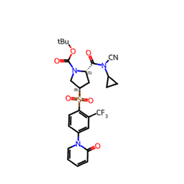 CC(C)(C)OC(=O)N1C[C@H](S(=O)(=O)c2ccc(-n3ccccc3=O)cc2C(F)(F)F)C[C@H]1C(=O)N(C#N)C1CC1